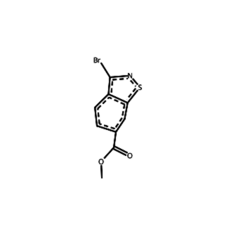 COC(=O)c1ccc2c(Br)nsc2c1